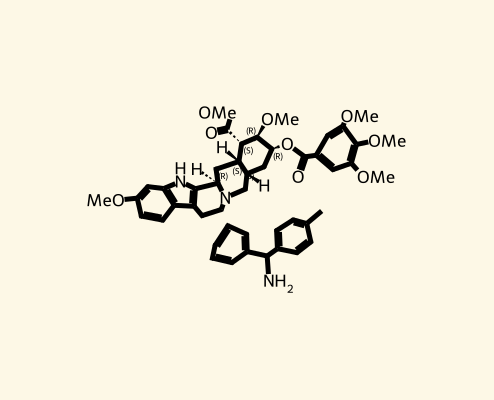 COC(=O)[C@H]1[C@H]2C[C@@H]3c4[nH]c5cc(OC)ccc5c4CCN3C[C@H]2C[C@@H](OC(=O)c2cc(OC)c(OC)c(OC)c2)[C@@H]1OC.Cc1ccc(C(N)c2ccccc2)cc1